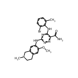 COc1cc2c(cc1Nc1nnc(C(N)=O)c(Nc3c(C)cccc3Br)n1)CN(C)CC2